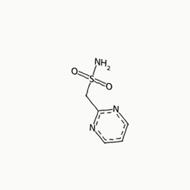 NS(=O)(=O)Cc1ncccn1